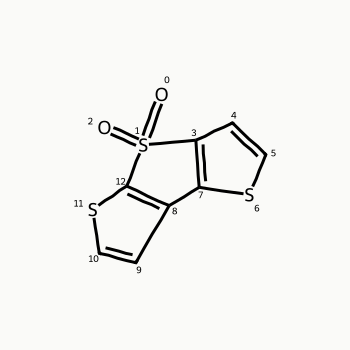 O=S1(=O)c2ccsc2-c2ccsc21